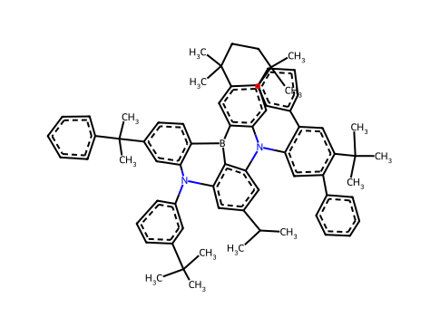 CC(C)c1cc2c3c(c1)N(c1cc(-c4ccccc4)c(C(C)(C)C)cc1-c1ccccc1)c1cc4c(cc1B3c1ccc(C(C)(C)c3ccccc3)cc1N2c1cccc(C(C)(C)C)c1)C(C)(C)CCC4(C)C